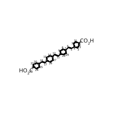 O=C(O)c1ccc(C=Cc2ccc(C=Cc3ccc(C=Cc4ccc(C(=O)O)cc4)cc3)cc2)cc1